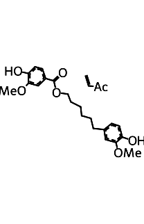 C=CC(C)=O.COc1cc(CCCCCCOC(=O)c2ccc(O)c(OC)c2)ccc1O